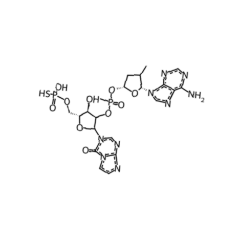 CC1C[C@@H](OP(C)(=O)OC2C(n3cnc4nccn4c3=O)O[C@H](COP(=O)(O)S)[C@H]2O)O[C@H]1n1cnc2c(N)ncnc21